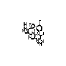 CCC1c2nncn2-c2cnc(-c3cn[nH]c3-c3nccs3)nc2N1c1ccc(F)cc1